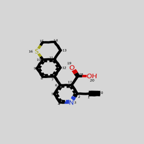 C#Cc1nccc(-c2ccc3c(c2)CCCS3)c1C(=O)O